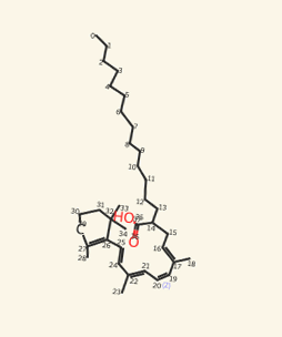 CCCCCCCCCCCCCCC(CC=C(C)/C=C\C=C(C)C=CC1=C(C)CCCC1(C)C)C(=O)O